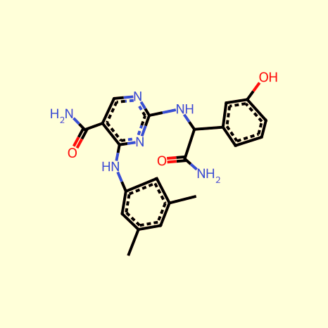 Cc1cc(C)cc(Nc2nc(NC(C(N)=O)c3cccc(O)c3)ncc2C(N)=O)c1